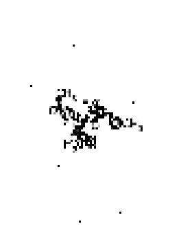 CC#CC(=O)N1CCN(c2cc(C3(Cc4nncn4C)COC3)cc(N3Cc4c(cc(CN5CCCC(C)C5)cc4C(F)(F)F)C3=O)n2)CC1